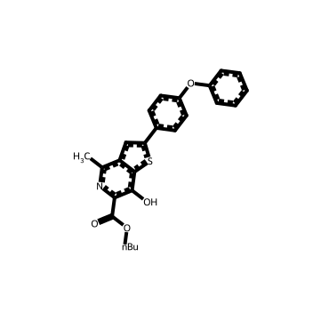 CCCCOC(=O)c1nc(C)c2cc(-c3ccc(Oc4ccccc4)cc3)sc2c1O